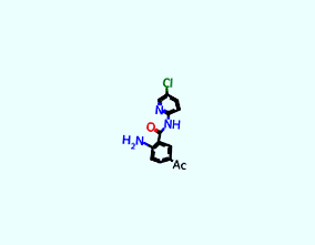 CC(=O)c1ccc(N)c(C(=O)Nc2ccc(Cl)cn2)c1